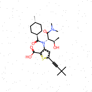 C[C@@H](O)[C@@H](C(=O)N(C)C)N(c1cc(C#CC(C)(C)C)sc1C(=O)O)C(=O)[C@H]1CC[C@H](C)CC1